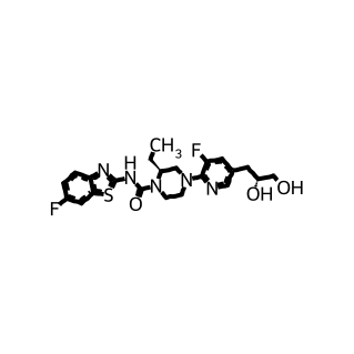 CC[C@H]1CN(c2ncc(C[C@@H](O)CO)cc2F)CCN1C(=O)Nc1nc2ccc(F)cc2s1